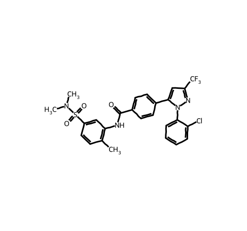 Cc1ccc(S(=O)(=O)N(C)C)cc1NC(=O)c1ccc(-c2cc(C(F)(F)F)nn2-c2ccccc2Cl)cc1